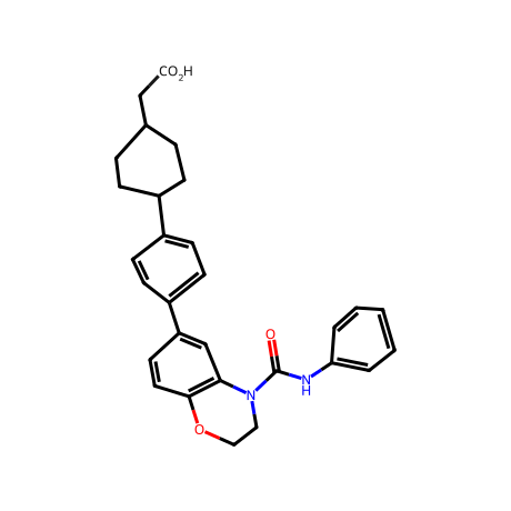 O=C(O)CC1CCC(c2ccc(-c3ccc4c(c3)N(C(=O)Nc3ccccc3)CCO4)cc2)CC1